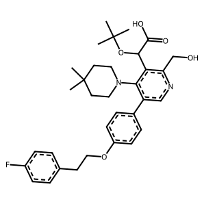 CC1(C)CCN(c2c(-c3ccc(OCCc4ccc(F)cc4)cc3)cnc(CO)c2C(OC(C)(C)C)C(=O)O)CC1